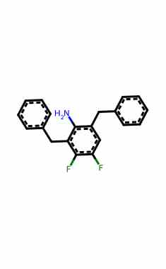 Nc1c(Cc2ccccc2)cc(F)c(F)c1Cc1ccccc1